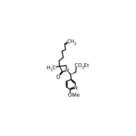 C=CCCCCC1(C)CN([C@@H](CC(=O)OCC)c2ccc(OC)nc2)C1=O